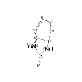 CC1NC2C=CC=CC2N1